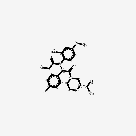 COc1ccc(N(C(=O)CCl)[C@@H](C(=O)N2CCN[C@@H](C(C)C)C2)c2ccc(F)cc2)c(C)c1